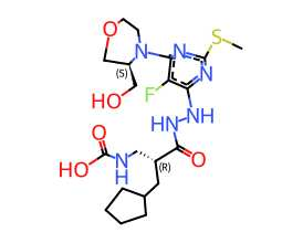 CSc1nc(NNC(=O)[C@@H](CNC(=O)O)CC2CCCC2)c(F)c(N2CCOC[C@@H]2CO)n1